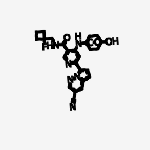 N#Cc1cnn2c(-c3cc(NC45CCC(O)(CC4)CC5)c(C(=O)NCC4(F)CCC4)cn3)ccc2c1